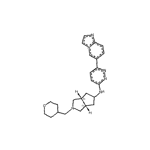 c1cn2cc(-c3ccc(NC4C[C@@H]5CN(CC6CCOCC6)C[C@@H]5C4)nn3)ccc2n1